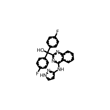 OC(c1ccc(F)cc1)(c1ccc(F)cc1)c1nc(Nc2cc[nH]n2)c2ccccc2n1